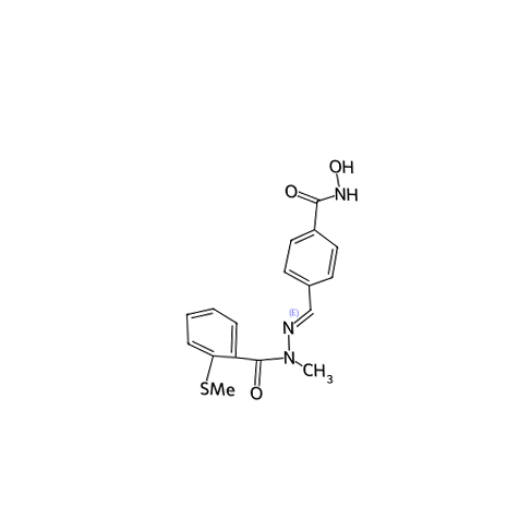 CSc1ccccc1C(=O)N(C)/N=C/c1ccc(C(=O)NO)cc1